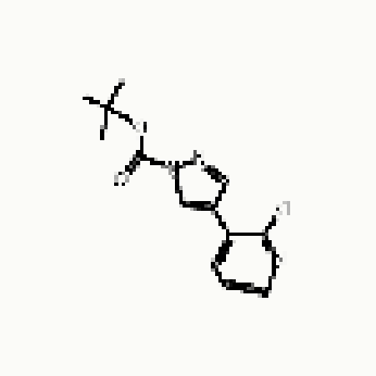 CC(C)(C)OC(=O)n1cc(-c2cccnc2Cl)cn1